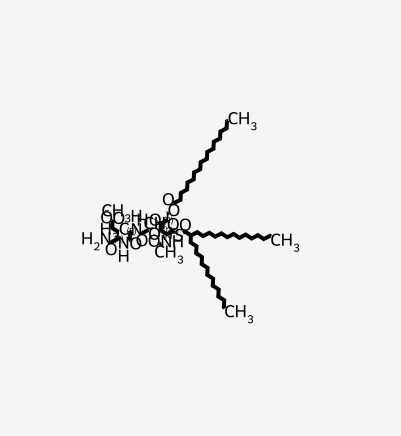 CCCCCCCCCCCCCCCCCC(=O)OC[C@H]1O[C@@H](SC(=O)C(CCCCCCCCCCCCCC)CCCCCCCCCCCCCC)[C@H](NC(C)=O)[C@H](OC(C)C(=O)N[C@@H](C)C(=O)N[C@H](CCC(=O)OC)C(N)=O)[C@@H]1O